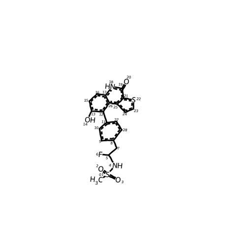 CS(=O)(=O)NC(F)Cc1ccc(-c2c(O)ccc3[nH]c(=O)c4sccc4c23)cc1